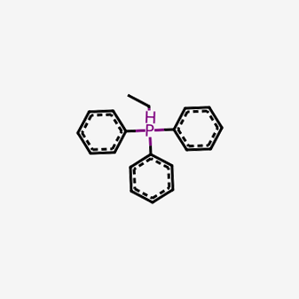 CC[PH](c1ccccc1)(c1ccccc1)c1ccccc1